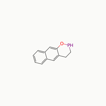 c1ccc2cc3c(cc2c1)CCPO3